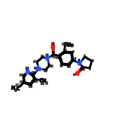 CSc1cc(N2CCCC2=O)ccc1C(=O)N1CCN(c2ncc(C)cc2C)CC1